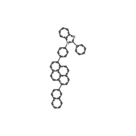 c1ccc(-c2nc3ccccc3n2-c2ccc(-c3ccc4ccc5c(-c6ccc7ccccc7c6)ccc6ccc3c4c65)cc2)cc1